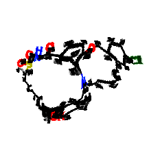 C[C@H]1CCCC[C@](C)(O)[C@@H]2CC[C@H]2CN2CCCCc3cc(Cl)ccc3COc3ccc(cc32)C(=O)NS1(=O)=O